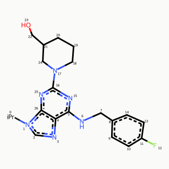 CC(C)n1cnc2c(NCc3ccc(F)cc3)nc(N3CCCC(CO)C3)nc21